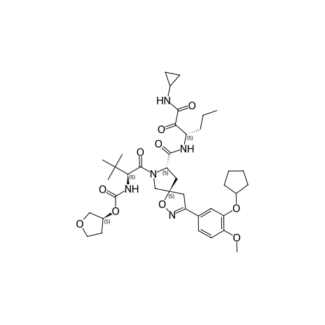 CCC[C@H](NC(=O)[C@@H]1C[C@]2(CC(c3ccc(OC)c(OC4CCCC4)c3)=NO2)CN1C(=O)[C@@H](NC(=O)O[C@H]1CCOC1)C(C)(C)C)C(=O)C(=O)NC1CC1